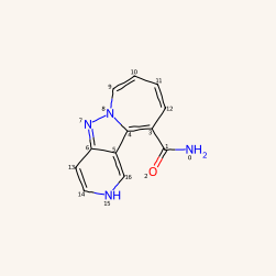 NC(=O)C1=c2c3c(nn2C=CC=C1)C=CNC=3